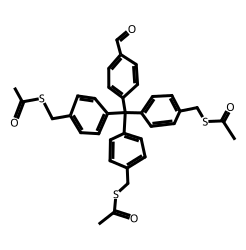 CC(=O)SCc1ccc(C(c2ccc(C=O)cc2)(c2ccc(CSC(C)=O)cc2)c2ccc(CSC(C)=O)cc2)cc1